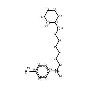 CN(CCCCCCOC1CCCCO1)c1ccc(Br)cc1